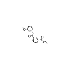 CCOC(=O)c1ccnc(C(=O)Cc2cccc(OC)c2)c1